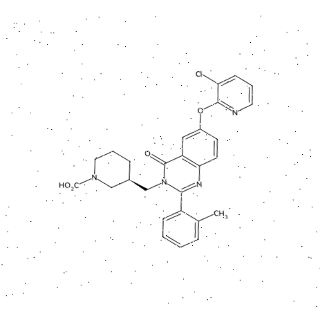 Cc1ccccc1-c1nc2ccc(Oc3ncccc3Cl)cc2c(=O)n1C[C@@H]1CCCN(C(=O)O)C1